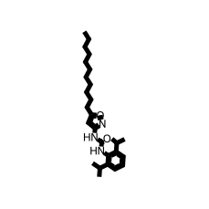 CCCCCCCCCCCc1cc(NC(=O)Nc2c(C(C)C)cccc2C(C)C)no1